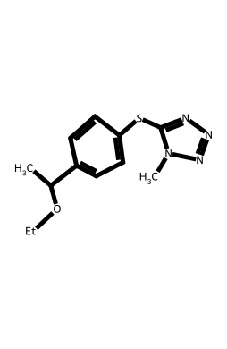 CCOC(C)c1ccc(Sc2nnnn2C)cc1